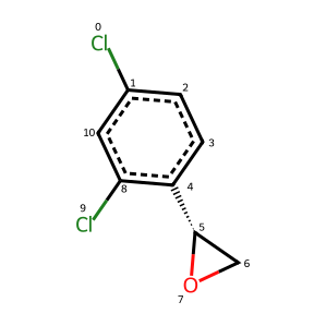 Clc1ccc([C@@H]2CO2)c(Cl)c1